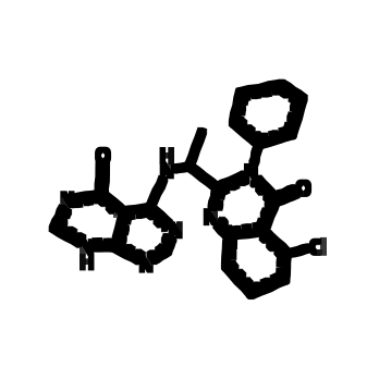 CC(Nc1ncnc2[nH]cnc(=O)c12)c1nc2cccc(Cl)c2c(=O)n1-c1ccccc1